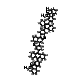 CC1(C)c2ccccc2-c2ccc(-c3c4c(c(-c5ccc6c(c5)sc5cc7c8c(cccc8c56)Sc5cc(-c6c8ccccc8c(-c8ccc9c(c8)C(C)(C)C8C=CC=CC98)c8ccccc68)ccc5-7)c5ccccc35)C=CCC4)cc21